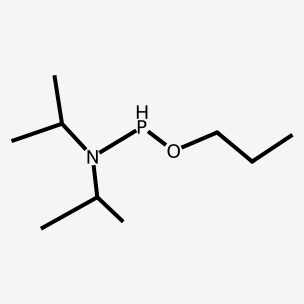 CCCOPN(C(C)C)C(C)C